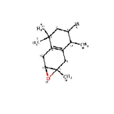 CCC1CC(C)(C)C2=C(CC3(C)OC3C2)C1C